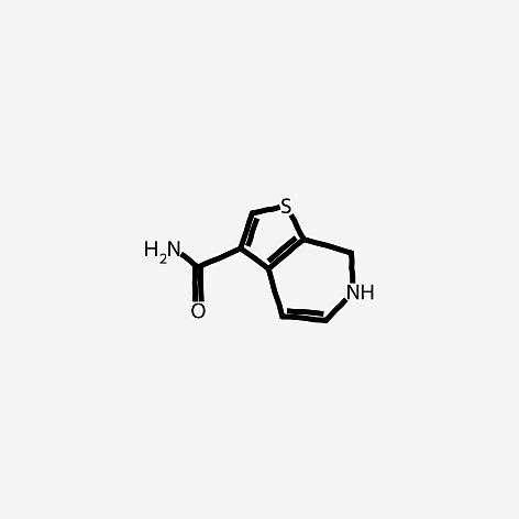 NC(=O)c1csc2c1C=CNC2